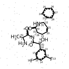 C[C@H](N)C(=O)N(C(=O)[C@@H](O)c1cc(F)cc(F)c1)[C@H]1CC=C[C@@H](c2ccccc2)NC1=O